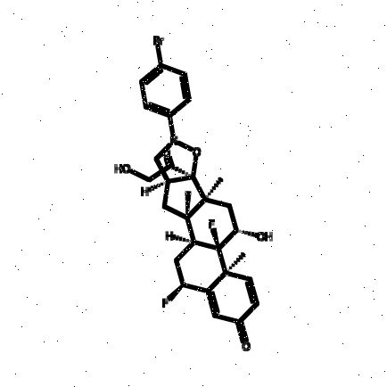 C[C@]12C[C@H](O)[C@@]3(F)[C@@H](C[C@H](F)C4=CC(=O)C=C[C@@]43C)[C@]1(C)C[C@H]1CN(c3ccc(Br)cc3)O[C@]12C(=O)CO